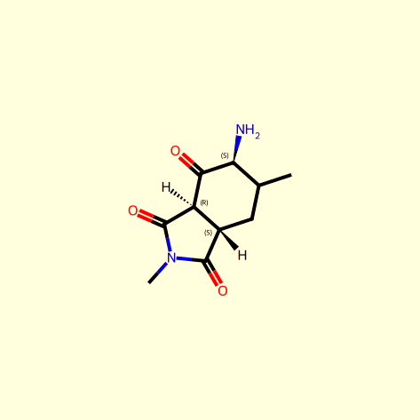 CC1C[C@@H]2C(=O)N(C)C(=O)[C@H]2C(=O)[C@H]1N